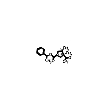 CC(OC(=O)N1C[C@@H](C)[C@@](C)(C(=O)O)C1)c1ccccc1